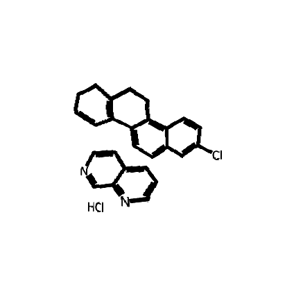 Cl.Clc1ccc2c3c(ccc2c1)C1=C(CCC=C1)CC3.c1cnc2cnccc2c1